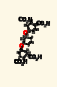 O=C(O)c1ccc(Oc2cccc(Oc3ccc(C(=O)O)c(C(=O)O)c3)c2)cc1C(=O)O